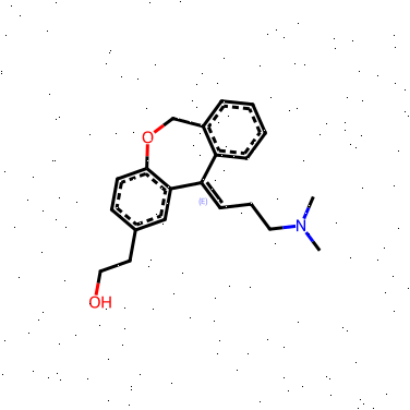 CN(C)CC/C=C1\c2ccccc2COc2ccc(CCO)cc21